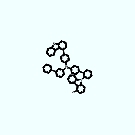 Fc1cccc2c1c1ccccc1n2-c1ccccc1-c1ccc(N(c2ccc(-c3cccc4sc5ccccc5c34)cc2)c2cccc(-c3ccccc3)c2)cc1